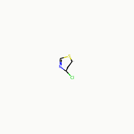 ClC1[CH]SC=N1